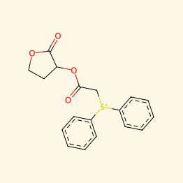 O=C(C[S+](c1ccccc1)c1ccccc1)OC1CCOC1=O